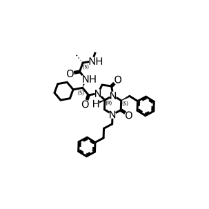 CN[C@@H](C)C(=O)N[C@H](C(=O)N1CC(=O)N2[C@@H]1CN(CCCc1ccccc1)C(=O)[C@@H]2Cc1ccccc1)C1CCCCC1